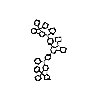 c1ccc(N(c2ccc(-c3cc(-c4ccc(N(c5ccccc5)c5ccc6c(c5)C(c5ccccc5)(c5ccccc5)c5ccccc5-6)cc4)c4c(c3)c3ccccc3n4-c3ccccc3)cc2)c2ccc3c(c2)C(c2ccccc2)(c2ccccc2)c2ccccc2-3)cc1